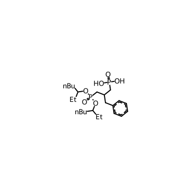 CCCCC(CC)OP(=O)(CC(Cc1ccccc1)CP(=O)(O)O)OC(CC)CCCC